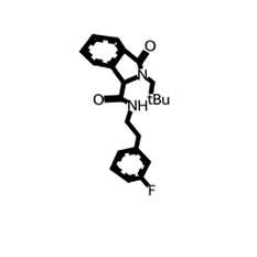 CC(C)(C)CN1C(=O)c2ccccc2C1C(=O)NCCc1cccc(F)c1